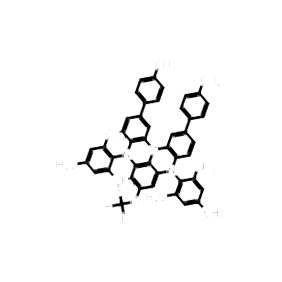 Cc1ccc(-c2ccc3c(c2)B2c4cc(-c5ccc(C)cc5)ccc4N(c4c(C)cc(C)cc4C)c4cc(OC(F)(F)F)cc(c42)N3c2c(C)cc(C)cc2C)cc1